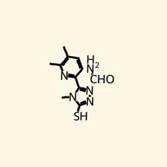 Cc1ccc(-c2nnc(S)n2C)nc1C.NC=O